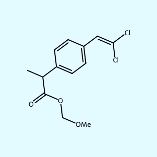 COCOC(=O)C(C)c1ccc(C=C(Cl)Cl)cc1